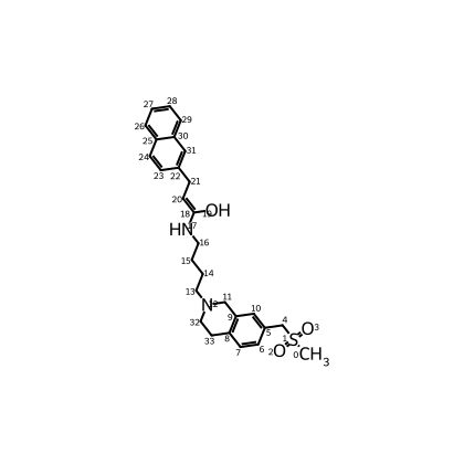 CS(=O)(=O)Cc1ccc2c(c1)CN(CCCCNC(O)=CCc1ccc3ccccc3c1)CC2